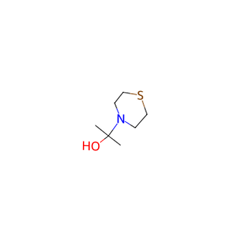 CC(C)(O)N1CCSCC1